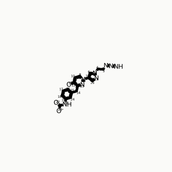 N=[N+]=NCCn1cc(-n2ccc(=O)c(Cc3cccc(NC(=O)[O-])c3)n2)cn1